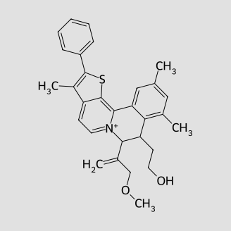 C=C(COC)C1C(CCO)c2c(C)cc(C)cc2-c2c3sc(-c4ccccc4)c(C)c3cc[n+]21